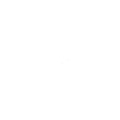 COC(=O)c1c(-c2cc(OC)c(OC)c(OC)c2)c2ccccc2c(=O)n1NCCOC(C)=O